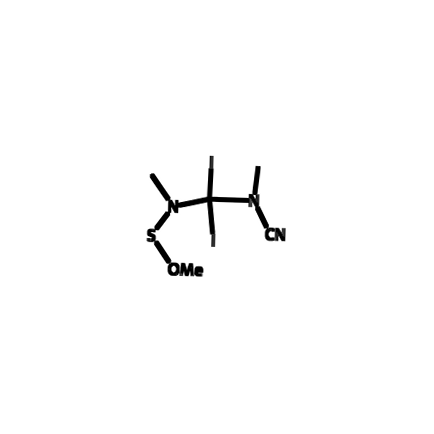 COSN(C)C(I)(I)N(C)C#N